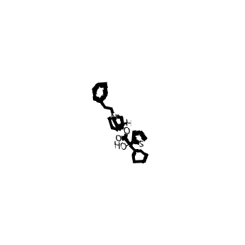 O=C(O[C@H]1C[N+]2(CCc3ccccc3)CCC1CC2)[C@@](O)(c1cccs1)C1CCCCC1